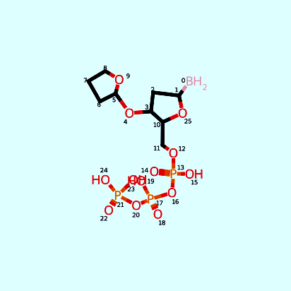 BC1CC(OC2CCCO2)C(COP(=O)(O)OP(=O)(O)OP(=O)(O)O)O1